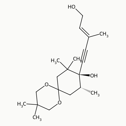 CC(C#C[C@]1(O)[C@H](C)CC2(CC1(C)C)OCC(C)(C)CO2)=CCO